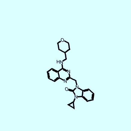 O=c1n(Cc2nc(NCC3CCOCC3)c3ccccc3n2)c2ccccc2n1C1CC1